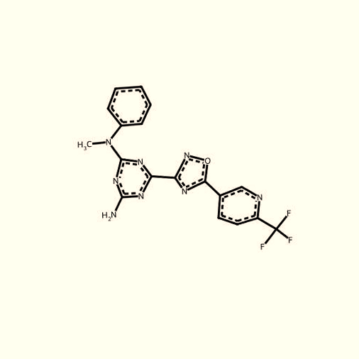 CN(c1ccccc1)c1nc(N)nc(-c2noc(-c3ccc(C(F)(F)F)nc3)n2)n1